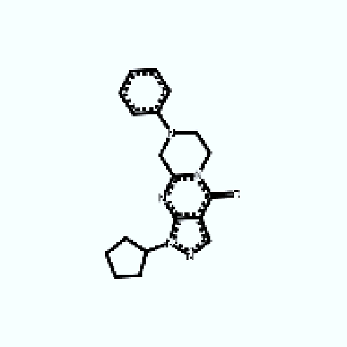 O=c1c2cnn(C3CCCC3)c2nc2n1CCN(c1ccccc1)C2